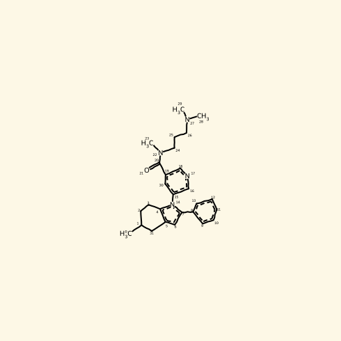 CC1CCc2c(cc(-c3ccccc3)n2-c2cncc(C(=O)N(C)CCCN(C)C)c2)C1